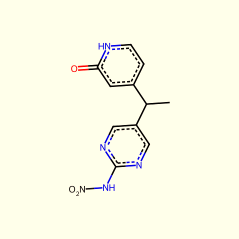 CC(c1cnc(N[N+](=O)[O-])nc1)c1cc[nH]c(=O)c1